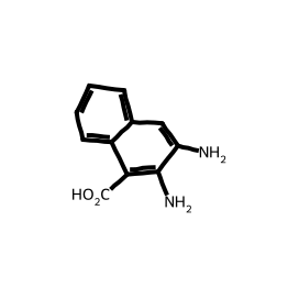 Nc1cc2ccccc2c(C(=O)O)c1N